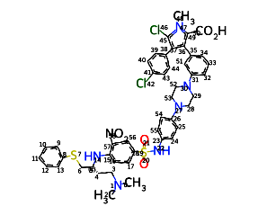 CN(C)CC[C@H](CSc1ccccc1)Nc1ccc(S(=O)(=O)Nc2ccc(N3CCN(c4cccc(-c5c(-c6ccc(Cl)cc6)c(Cl)n(C)c5C(=O)O)c4)CC3)cc2)cc1[N+](=O)[O-]